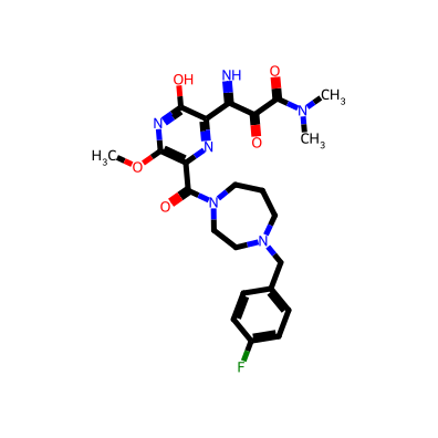 COc1nc(O)c(C(=N)C(=O)C(=O)N(C)C)nc1C(=O)N1CCCN(Cc2ccc(F)cc2)CC1